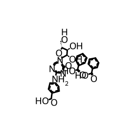 Nc1ncn([C@@H]2O[C@H](CO)[C@@H](O)[C@H]2O)c(=O)n1.O=C(O)c1ccccc1.O=C(O)c1ccccc1.O=C(O)c1ccccc1